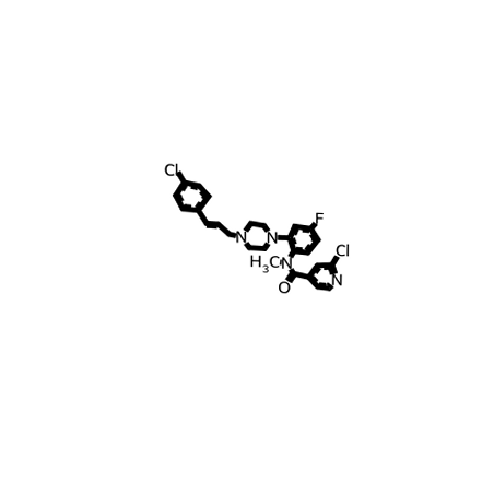 CN(C(=O)c1ccnc(Cl)c1)c1ccc(F)cc1N1CCN(C/C=C/c2ccc(Cl)cc2)CC1